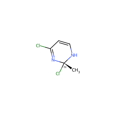 C[C@@]1(Cl)N=C(Cl)C=CN1